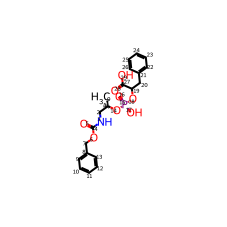 C[C@H](CNC(=O)OCc1ccccc1)OP(=O)(O)OC(Cc1ccccc1)C(=O)O